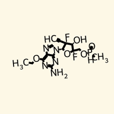 C#C[C@]1(F)[C@H](n2cnc3c(OCC)nc(N)nc32)O[C@](F)(CO[PH](C)=O)[C@H]1O